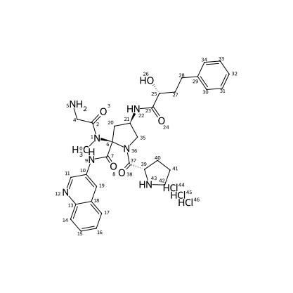 CN(C(=O)CN)[C@@]1(C(=O)Nc2cnc3ccccc3c2)C[C@@H](NC(=O)[C@H](O)CCc2ccccc2)CN1C(=O)[C@@H]1CCCN1.Cl.Cl.Cl